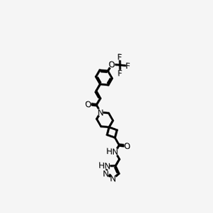 O=C(NCc1cnn[nH]1)C1CC2(CCN(C(=O)/C=C/c3ccc(OC(F)(F)F)cc3)CC2)C1